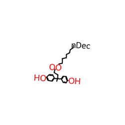 CCCCCCCCCCCCCCCCCCOC(=O)CCC(C)(c1ccc(O)cc1)c1ccc(O)cc1